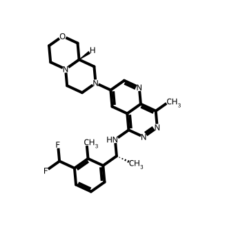 Cc1c(C(F)F)cccc1[C@@H](C)Nc1nnc(C)c2ncc(N3CCN4CCOC[C@@H]4C3)cc12